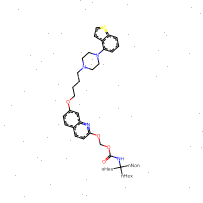 CCCCCCCCCC(CCCCCC)(CCCCCC)NC(=O)OCOc1ccc2ccc(OCCCCN3CCN(c4cccc5sccc45)CC3)cc2n1